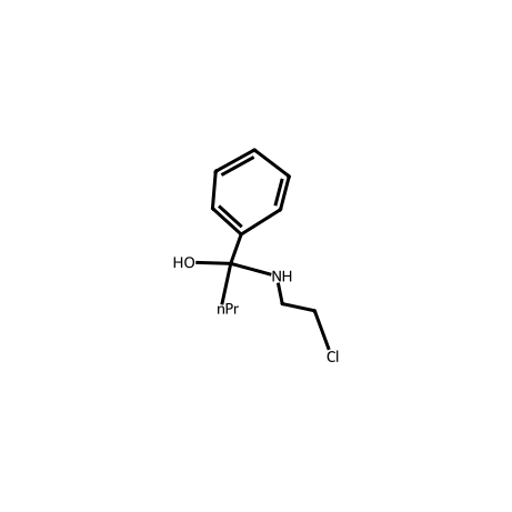 CCCC(O)(NCCCl)c1ccccc1